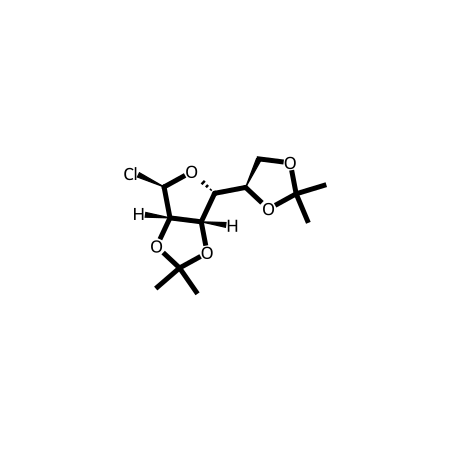 CC1(C)O[C@@H]2[C@H](O1)[C@@H](Cl)O[C@@H]2[C@H]1COC(C)(C)O1